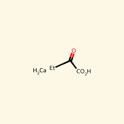 CCC(=O)C(=O)O.[CaH2]